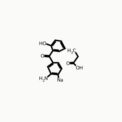 CCC(=O)O.Nc1cc(C(=O)c2ccccc2O)cc[c]1[Na]